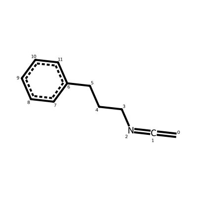 C=C=NCCCc1ccccc1